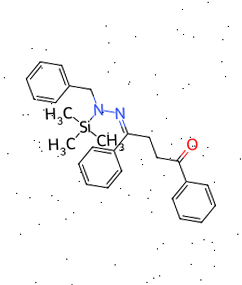 C[Si](C)(C)N(Cc1ccccc1)N=C(CCC(=O)c1ccccc1)c1ccccc1